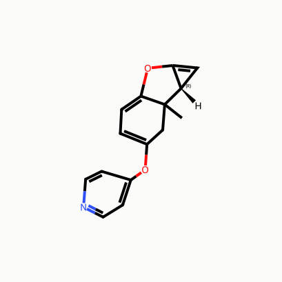 CC12CC(Oc3ccncc3)=CC=C1OC1=C[C@@H]12